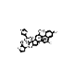 C[C@@H]1C[C@H]2[C@@H]3C[C@H](F)C4=CC(=O)C=C[C@]4(C)[C@@]3(F)[C@@H](O)C[C@]2(C)[C@@]1(OC(=O)c1cncs1)C(=O)S[C@H]1CCOC1=O